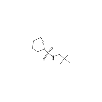 CC(C)(C)CNS(=O)(=O)C1CCCCC1